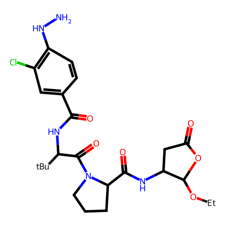 CCOC1OC(=O)CC1NC(=O)C1CCCN1C(=O)C(NC(=O)c1ccc(NN)c(Cl)c1)C(C)(C)C